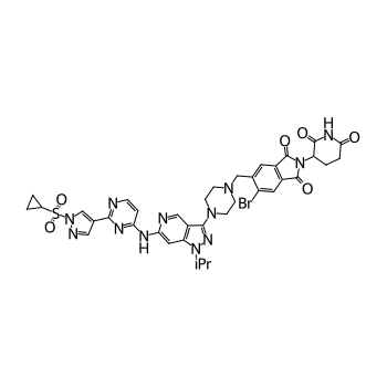 CC(C)n1nc(N2CCN(Cc3cc4c(cc3Br)C(=O)N(C3CCC(=O)NC3=O)C4=O)CC2)c2cnc(Nc3ccnc(-c4cnn(S(=O)(=O)C5CC5)c4)n3)cc21